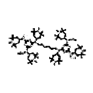 CCCCN(c1nc(N(CCCC)C2CC(C)(C)N(C)C(C)(C)C2)nc(N(CCCCCCN(c2nc(N(CCCC)C3CC(C)(C)N(C)C(C)(C)C3)nc(N(CCCC)C3CC(C)(C)N(C)C(C)(C)C3)n2)C2CC(C)(C)N(C)C(C)(C)C2)C2CC(C)(C)N(C)C(C)(C)C2)n1)C1CC(C)(C)N(C)C(C)(C)C1